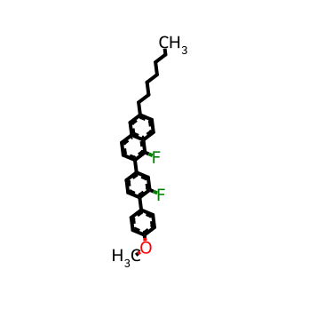 CCCCCCCc1ccc2c(F)c(-c3ccc(-c4ccc(OC)cc4)c(F)c3)ccc2c1